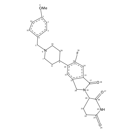 COc1ccc(CN2CCC(c3cc4c(cc3F)C(=O)N(C3CCC(=O)NC3=O)C4)CC2)cc1